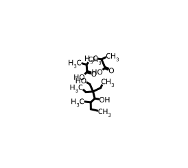 CC(C)C(=O)O.CC(C)C(=O)O.CCC(C)C(O)C(CC)(CC)CO